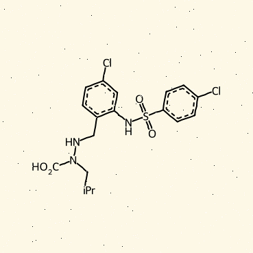 CC(C)CN(NCc1ccc(Cl)cc1NS(=O)(=O)c1ccc(Cl)cc1)C(=O)O